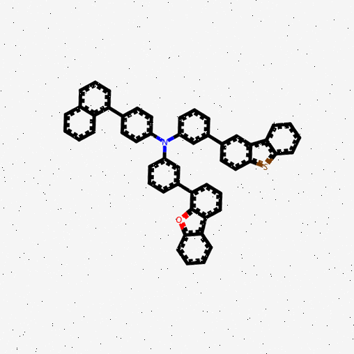 c1cc(-c2ccc3sc4ccccc4c3c2)cc(N(c2ccc(-c3cccc4ccccc34)cc2)c2cccc(-c3cccc4c3oc3ccccc34)c2)c1